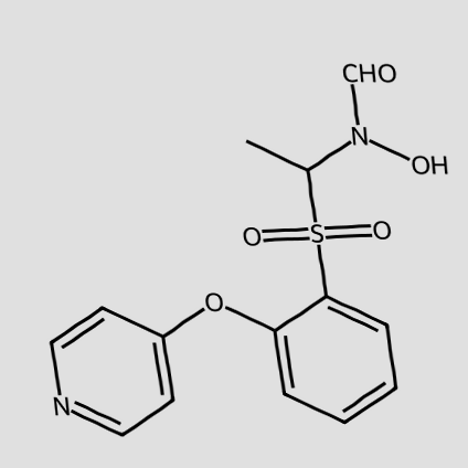 CC(N(O)C=O)S(=O)(=O)c1ccccc1Oc1ccncc1